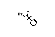 CC(C)CC(=O)C(C)(C)C1C=CCCC1